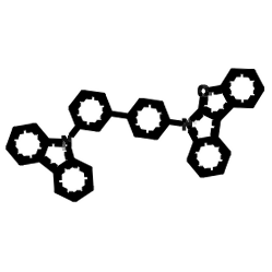 c1cc(-c2ccc(-n3c4ccccc4c4c5ccccc5oc43)cc2)cc(-n2c3ccccc3c3ccccc32)c1